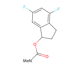 CNC(=O)OC1CCc2c(F)cc(F)cc21